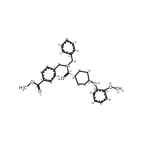 COC(=O)c1ccc(CN(Cc2ccccc2)C(=O)[C@H]2CC[C@H](Oc3ccccc3OC)CC2)cc1